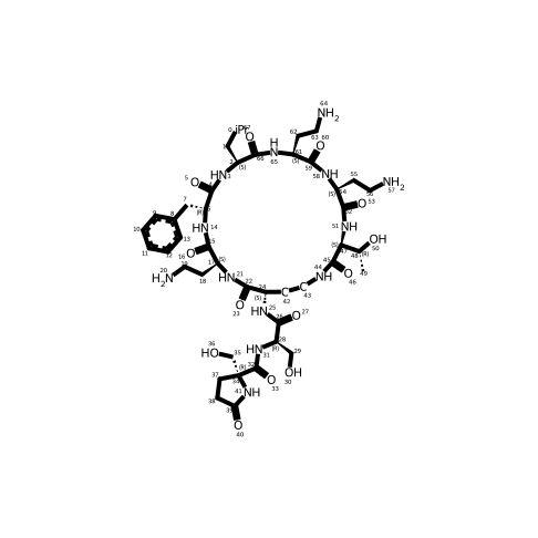 CC(C)C[C@@H]1NC(=O)[C@@H](Cc2ccccc2)NC(=O)[C@H](CCN)NC(=O)[C@@H](NC(=O)[C@@H](CO)NC(=O)[C@]2(CO)CCC(=O)N2)CCNC(=O)[C@H]([C@@H](C)O)NC(=O)[C@H](CCN)NC(=O)[C@H](CCN)NC1=O